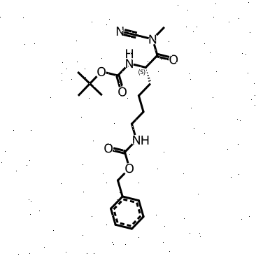 CN(C#N)C(=O)[C@H](CCCCNC(=O)OCc1ccccc1)NC(=O)OC(C)(C)C